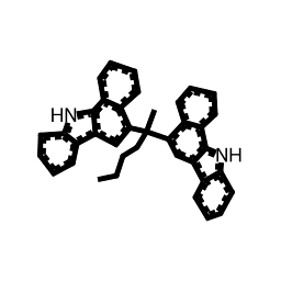 CCCCC(C)(c1cc2c3ccccc3[nH]c2c2ccccc12)c1cc2c3ccccc3[nH]c2c2ccccc12